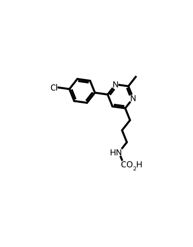 Cc1nc(CCCNC(=O)O)cc(-c2ccc(Cl)cc2)n1